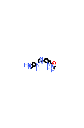 CC(C)NC(=O)c1cc2ccc(-c3nccc(Nc4ccc5[nH]ncc5c4)n3)cc2[nH]1